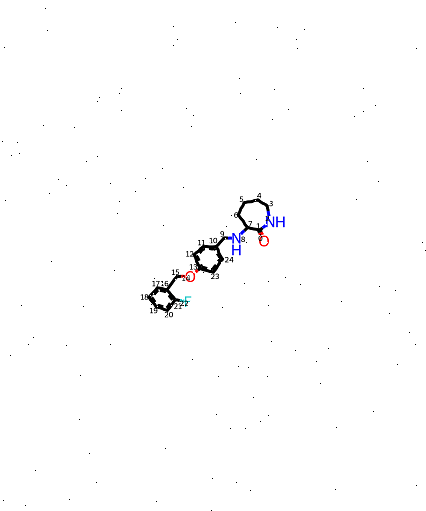 O=C1NCCCCC1NCc1ccc(OCc2ccccc2F)cc1